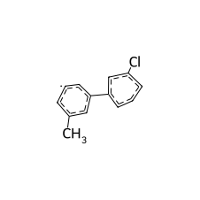 Cc1c[c]cc(-c2cccc(Cl)c2)c1